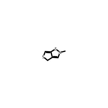 CN1C=C2CSC=C2S1